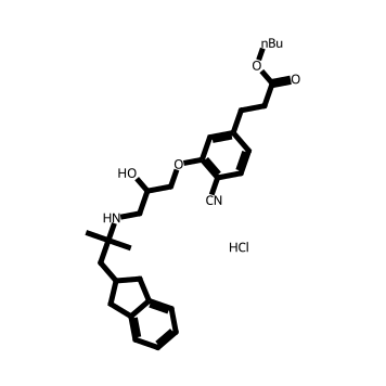 CCCCOC(=O)CCc1ccc(C#N)c(OCC(O)CNC(C)(C)CC2Cc3ccccc3C2)c1.Cl